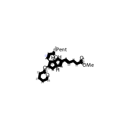 CCCCCC(O)/C=C\[C@H]1[C@H]2CC(C=CCCC(=O)OC)=C[C@H]2C[C@H]1OC1CCCCO1